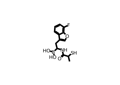 CC(S)C(=O)NC(Cc1coc2c(F)cccc12)B(O)O